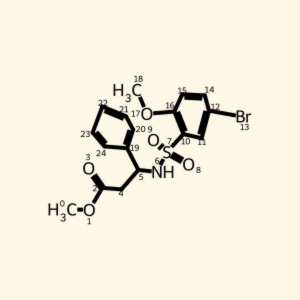 COC(=O)CC(NS(=O)(=O)c1cc(Br)ccc1OC)c1ccccc1